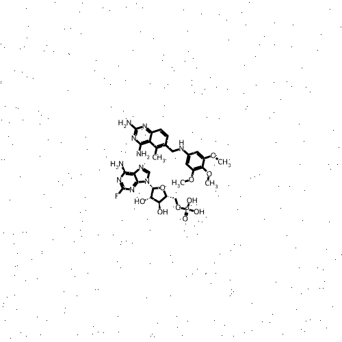 COc1cc(NCc2ccc3nc(N)nc(N)c3c2C)cc(OC)c1OC.Nc1nc(F)nc2c1ncn2[C@@H]1O[C@H](COP(=O)(O)O)[C@@H](O)[C@@H]1O